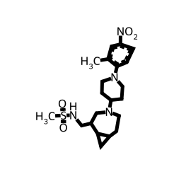 Cc1cc([N+](=O)[O-])ccc1N1CCC(N2CCC3CC3C(CNS(C)(=O)=O)C2)CC1